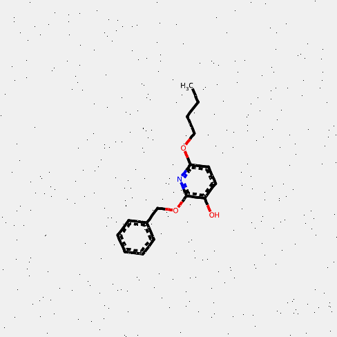 CCCCOc1ccc(O)c(OCc2ccccc2)n1